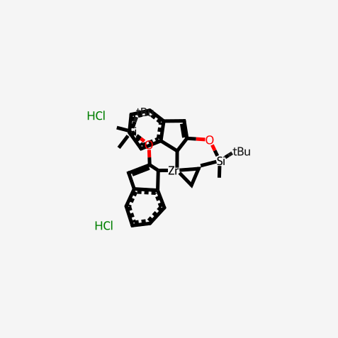 CC(C)(C)[Si](C)(C)OC1=Cc2ccccc2[CH]1[Zr]1([CH]2C(O[Si](C)(C)C(C)(C)C)=Cc3ccccc32)[CH2][CH2]1.Cl.Cl